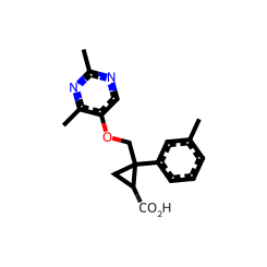 Cc1cccc(C2(COc3cnc(C)nc3C)CC2C(=O)O)c1